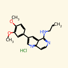 C=CCNc1nccc2ncc(-c3ccc(OC)c(OC)c3)cc12.Cl